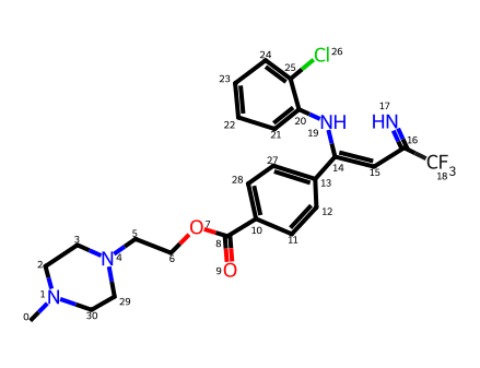 CN1CCN(CCOC(=O)c2ccc(/C(=C/C(=N)C(F)(F)F)Nc3ccccc3Cl)cc2)CC1